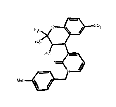 COc1ccc(Cn2cccc(C3c4cc([N+](=O)[O-])ccc4OC(C)(C)C3O)c2=O)cc1